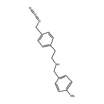 CC(C)(C)c1ccc(CNCCc2ccc(CN=[N+]=[N-])cc2)cc1